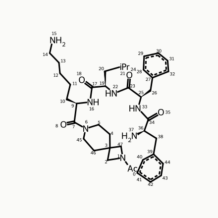 CC(=O)N1CC2(CCN(C(=O)[C@@H](CCCCCN)NC(=O)[C@@H](CC(C)C)NC(=O)[C@@H](Cc3ccccc3)NC(=O)[C@H](N)Cc3ccccc3)CC2)C1